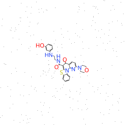 O=C(NCCNc1cccc(O)c1)c1c(=O)c2ccc(N3CCOCC3)nc2n2c1sc1ccccc12